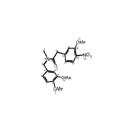 COc1ccc(CN(C)C(=O)Cc2ccc([N+](=O)[O-])c(OC)c2)cc1OC